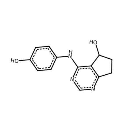 Oc1ccc(Nc2ncnc3c2C(O)CC3)cc1